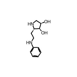 O[C@@H]1[C@H](O)CN[C@@H]1CCNc1ccccc1